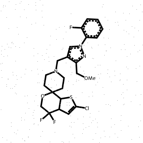 COCc1nn(-c2ccccc2F)cc1CN1CCC2(CC1)OCC(F)(F)C1C=C(Cl)SC12